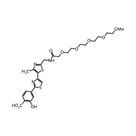 COCCOCCOCCOCCOCC(=O)NCc1nc(C)c(-c2csc(-c3ccc(C(=O)O)c(O)c3)n2)s1